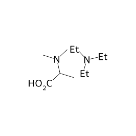 CC(C(=O)O)N(C)C.CCN(CC)CC